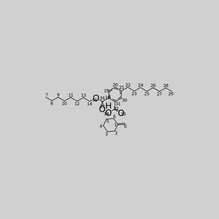 C=C1CCCCC1.CCCCCCCCOC(=O)c1ccc(CCCCCCCC)cc1C(=O)O